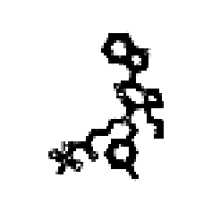 C=CCC1(C(=O)N(CCCC(=O)NS(C)(=O)=O)Cc2cccc(C)c2)CCN1C(=O)c1csc2ccccc12